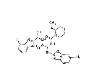 CC[C@H]1CCCCN1C(=O)N[C@H](Nc1nc2ccc(C)cc2o1)C(=O)N[C@@H](C)c1nc2c(F)cccc2[nH]1